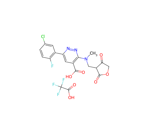 CN(CC1C(=O)COC1=O)c1nnc(-c2cc(Cl)ccc2F)cc1C(=O)O.O=C(O)C(F)(F)F